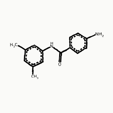 Cc1cc(C)cc(NC(=O)c2ccc(N)cc2)c1